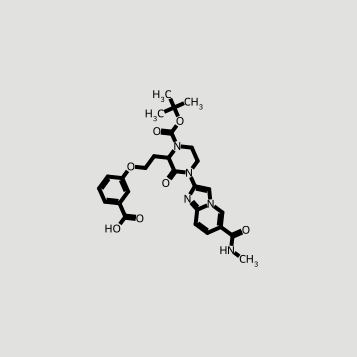 CNC(=O)c1ccc2nc(N3CCN(C(=O)OC(C)(C)C)C(CCOc4cccc(C(=O)O)c4)C3=O)cn2c1